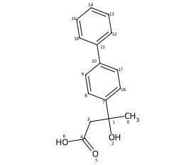 CC(O)(CC(=O)O)c1ccc(-c2ccccc2)cc1